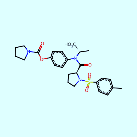 Cc1ccc(S(=O)(=O)N2CCC[C@H]2C(=O)N(c2ccc(OC(=O)N3CCCC3)cc2)[C@@H](C)C(=O)O)cc1